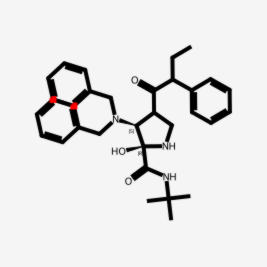 CCC(C(=O)C1CN[C@](O)(C(=O)NC(C)(C)C)[C@H]1N(Cc1ccccc1)Cc1ccccc1)c1ccccc1